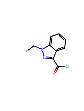 CC(C)Cn1nc(C(=O)Cl)c2ccccc21